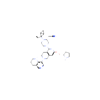 C=CC1(N2CCN(C3NC(OC[C@@H]4CCCN4C)=CC4=C3CCN(c3cncc5c3N(C)CCC5)C4)C[C@@H]2CC#N)C2CC21